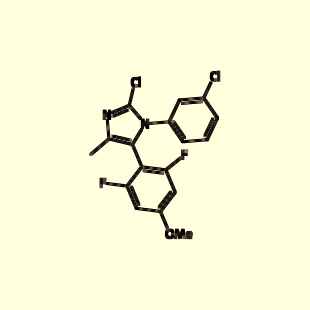 COc1cc(F)c(-c2c(C)nc(Cl)n2-c2cccc(Cl)c2)c(F)c1